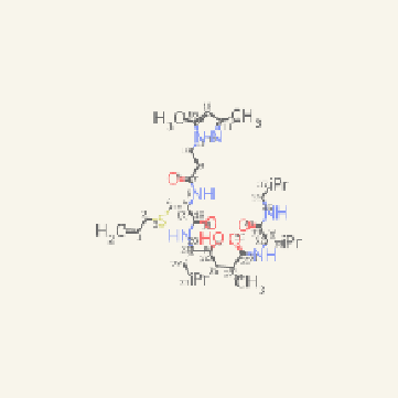 C=CCSC[C@H](NC(=O)CCn1nc(C)cc1C)C(=O)N[C@@H](CC(C)C)[C@@H](O)C[C@@H](C)C(=O)N[C@H](C(=O)NCC(C)C)C(C)C